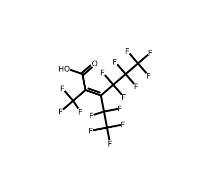 O=C(O)C(=C(C(F)(F)C(F)(F)F)C(F)(F)C(F)(F)C(F)(F)F)C(F)(F)F